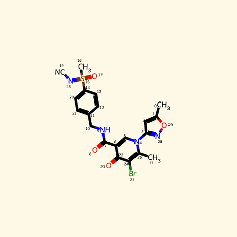 Cc1cc(-n2cc(C(=O)NCc3ccc(S(C)(=O)=NC#N)cc3)c(=O)c(Br)c2C)no1